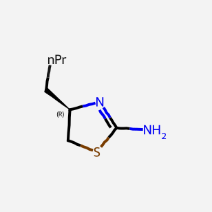 CCCC[C@@H]1CSC(N)=N1